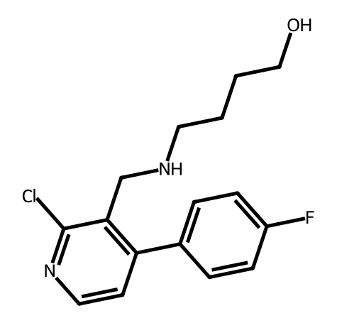 OCCCCNCc1c(-c2ccc(F)cc2)ccnc1Cl